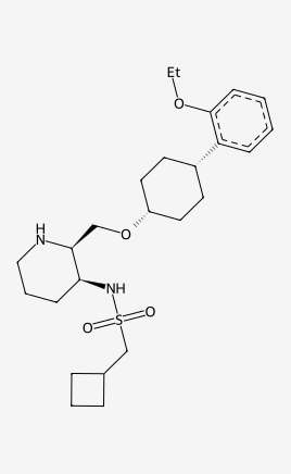 CCOc1ccccc1[C@H]1CC[C@@H](OC[C@@H]2NCCC[C@@H]2NS(=O)(=O)CC2CCC2)CC1